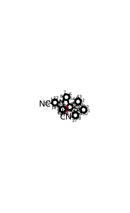 N#Cc1cc(-c2ccccc2-n2c3ccc(C#N)cc3c3cc(C#N)ccc32)cc([Si](c2ccccc2)(c2ccccc2)c2ccccc2)c1